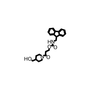 O=C(NCC1c2ccccc2-c2ccccc21)OCCC(=O)N1CCC(CO)CC1